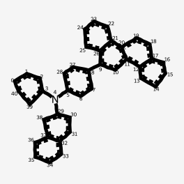 c1ccc(N(c2ccc(-c3cc4c5ccccc5ccc4c4ccccc34)cc2)c2ccc3ccccc3c2)cc1